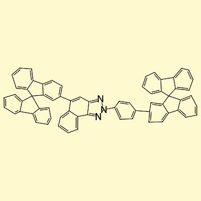 c1ccc2c(c1)-c1ccccc1C21c2ccccc2-c2ccc(-c3ccc(-n4nc5cc(-c6ccc7c(c6)C6(c8ccccc8-c8ccccc86)c6ccccc6-7)c6ccccc6c5n4)cc3)cc21